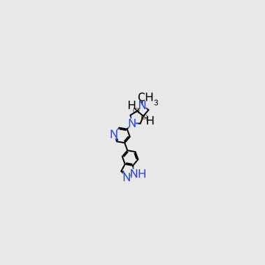 CN1C[C@H]2CN(c3cncc(-c4ccc5[nH]ncc5c4)c3)C[C@H]21